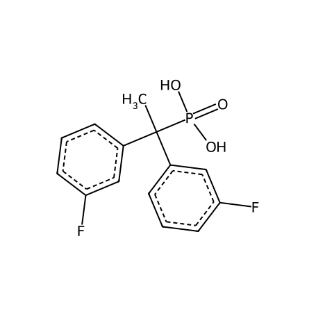 CC(c1cccc(F)c1)(c1cccc(F)c1)P(=O)(O)O